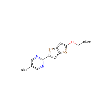 CCCCCCCCCCCOc1cc2sc(-c3ncc(CCCC)cn3)cc2s1